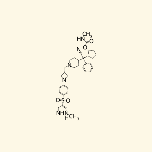 CN/C=C(\C=N)S(=O)(=O)c1ccc(N2CC(CN3CCC(C(C#N)(c4ccccc4)[C@@H]4CCC[C@H]4OC(=O)NC)CC3)C2)cc1